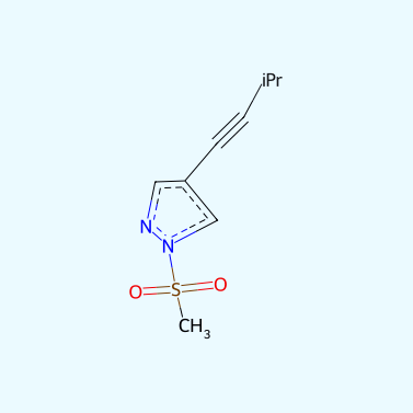 CC(C)C#Cc1cnn(S(C)(=O)=O)c1